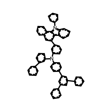 c1ccc(-c2cc(-c3ccccc3)cc(-c3ccc(N(c4cccc(-c5ccccc5)c4)c4cccc(-c5cc6ccccc6c6c5c5ccccc5n6-c5ccccc5)c4)cc3)c2)cc1